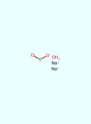 O.[Na+].[Na+].[O-]S[O-]